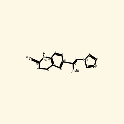 CCCCC(=Cn1ccnc1)c1ccc2c(c1)CCC(=O)N2